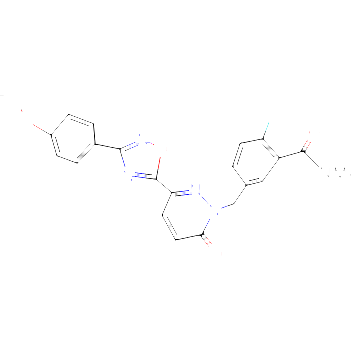 CNC(=O)c1cc(Cn2nc(-c3nc(-c4ccc(OC(F)(F)F)cc4)no3)ccc2=O)ccc1F